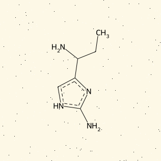 CCC(N)c1c[nH]c(N)n1